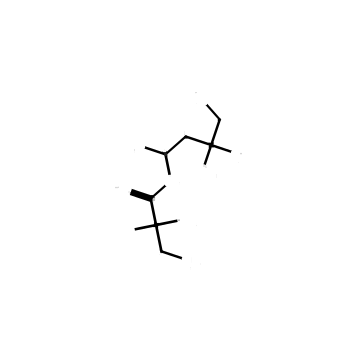 CCC(C)(O)CC(C)OC(=O)C(C)(C)CC